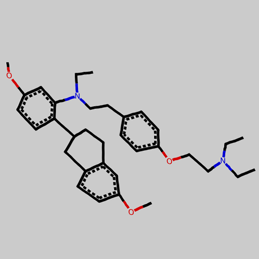 CCN(CC)CCOc1ccc(CCN(CC)c2cc(OC)ccc2C2CCc3cc(OC)ccc3C2)cc1